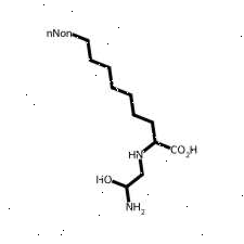 CCCCCCCCCCCCCCCCC(NCC(N)O)C(=O)O